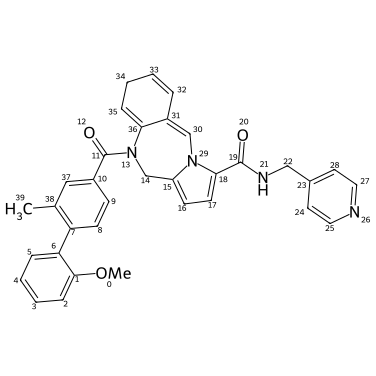 COc1ccccc1-c1ccc(C(=O)N2Cc3ccc(C(=O)NCc4ccncc4)n3C=C3C=CCC=C32)cc1C